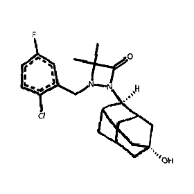 CC1(C)C(=O)N([C@H]2C3CC4CC2C[C@](O)(C4)C3)N1Cc1cc(F)ccc1Cl